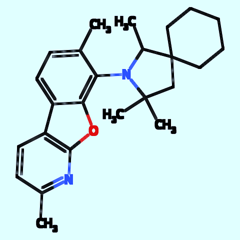 Cc1ccc2c(n1)oc1c(N3C(C)C4(CCCCC4)CC3(C)C)c(C)ccc12